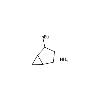 CCCCC1CCC2CC12.N